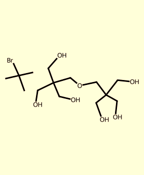 CC(C)(C)Br.OCC(CO)(CO)COCC(CO)(CO)CO